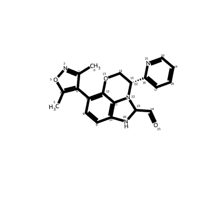 Cc1noc(C)c1-c1ccc2c3c1OC[C@H](c1ccccn1)N3C(C=O)N2